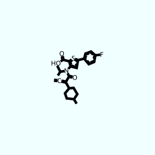 C=C=C(C(=O)N(c1cc(-c2ccc(F)cc2)sc1C(=O)O)C(C)C)C1CCC(C)CC1